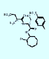 CCC1CCCCCC1NC(=O)[C@@H](CO)NC(=O)[C@@H](N)CC(=O)O.Cc1ccc(S(=O)(=O)O)cc1